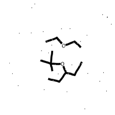 CCC(CC)OC(C)(C)C.CCOCC